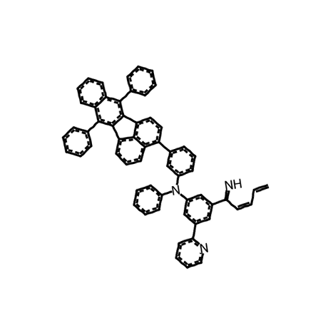 C=C/C=C\C(=N)c1cc(-c2ccccn2)cc(N(c2ccccc2)c2cccc(-c3ccc4c5c(cccc35)-c3c-4c(-c4ccccc4)c4ccccc4c3-c3ccccc3)c2)c1